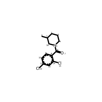 CC1CCCN(C(=O)c2ccc(Cl)cc2Cl)C1